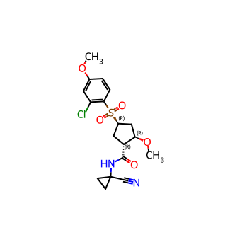 COc1ccc(S(=O)(=O)[C@H]2C[C@@H](OC)[C@H](C(=O)NC3(C#N)CC3)C2)c(Cl)c1